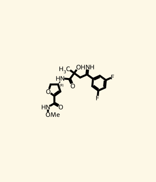 CONC(=O)C1=C[C@@H](NC(=O)C(C)(O)CC(=N)c2cc(F)cc(F)c2)CO1